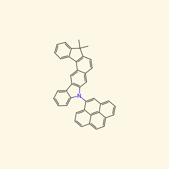 CC1(C)c2ccccc2-c2c1ccc1cc3c(cc21)c1ccccc1n3-c1cc2cccc3ccc4cccc1c4c32